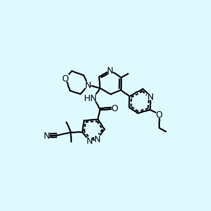 CCOc1ccc(C2=C(C)N=CC(NC(=O)c3cnnc(C(C)(C)C#N)c3)(N3CCOCC3)C2)cn1